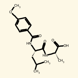 COc1ccc(C(=O)N[C@@H](CC(C)C)C(=O)N[C@@H](C)C(=O)O)cc1